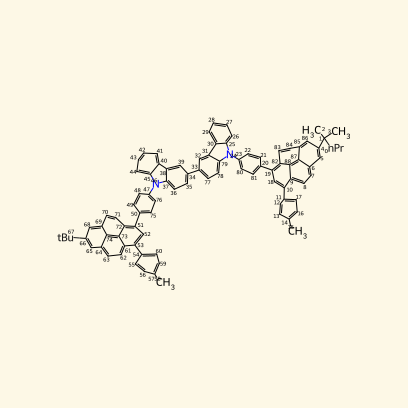 CCCC(C)(C)c1cc2ccc3c(-c4ccc(C)cc4)cc(-c4ccc(-n5c6ccccc6c6cc(-c7ccc8c(c7)c7ccccc7n8-c7ccc(-c8cc(-c9ccc(C)cc9)c9ccc%10cc(C(C)(C)C)cc%11ccc8c9c%10%11)cc7)ccc65)cc4)c4ccc(c1)c2c34